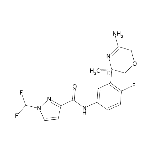 C[C@@]1(c2cc(NC(=O)c3ccn(C(F)F)n3)ccc2F)COCC(N)=N1